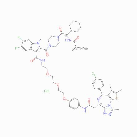 CN[C@@H](C)C(=O)N[C@H](C(=O)N1CCN(C(=O)c2c(C(=O)NCCOCCOCCOc3ccc(NC(=O)C[C@@H]4N=C(c5ccc(Cl)cc5)c5c(sc(C)c5C)-n5c(C)nnc54)cc3)c3cc(F)c(F)cc3n2C)CC1)C1CCCCC1.Cl